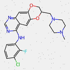 CN1CCN(CC2COc3cc4ncnc(Nc5cccc(Cl)c5F)c4cc3O2)CC1